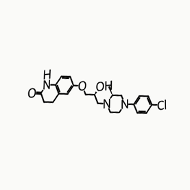 C[C@H]1CN(c2ccc(Cl)cc2)CCN1C[C@H](O)COc1ccc2c(c1)CCC(=O)N2